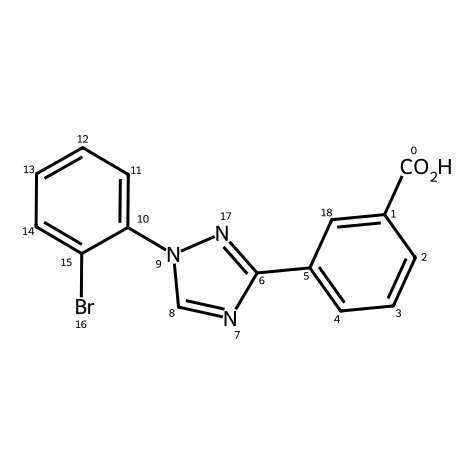 O=C(O)c1cccc(-c2ncn(-c3ccccc3Br)n2)c1